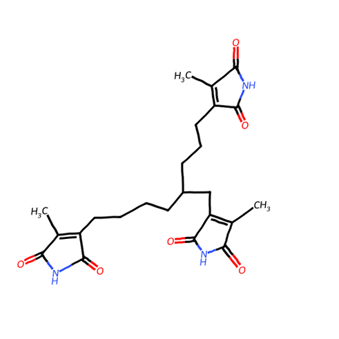 CC1=C(CCCCC(CCCC2=C(C)C(=O)NC2=O)CC2=C(C)C(=O)NC2=O)C(=O)NC1=O